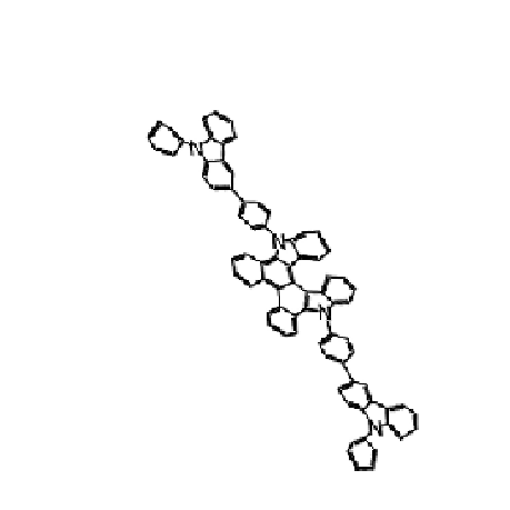 c1ccc(-n2c3ccccc3c3cc(-c4ccc(-n5c6ccccc6c6c7c(c8ccccc8c65)c5ccccc5c5c7c6ccccc6n5-c5ccc(-c6ccc7c(c6)c6ccccc6n7-c6ccccc6)cc5)cc4)ccc32)cc1